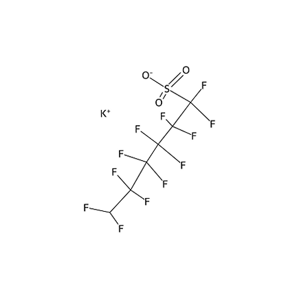 O=S(=O)([O-])C(F)(F)C(F)(F)C(F)(F)C(F)(F)C(F)(F)C(F)F.[K+]